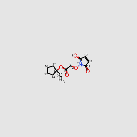 CC1(OC(=O)CON2C(=O)C=CC2=O)CCCC1